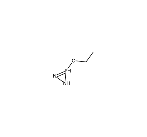 CCO[PH]1=NN1